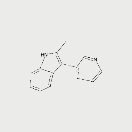 Cc1[nH]c2ccccc2c1-c1cccnc1